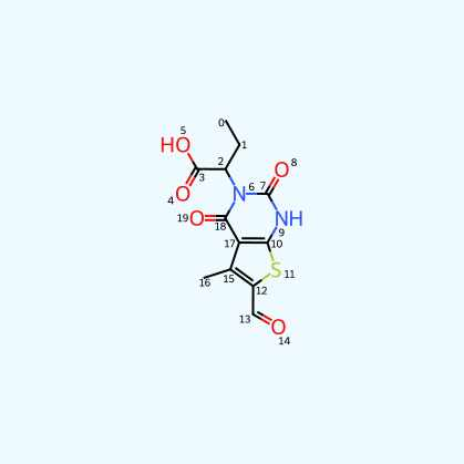 CCC(C(=O)O)n1c(=O)[nH]c2sc(C=O)c(C)c2c1=O